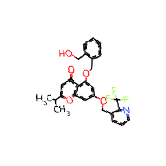 CC(C)c1cc(=O)c2c(OCc3ccccc3CO)cc(OCc3cccnc3C(F)(F)F)cc2o1